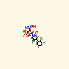 Cc1cccc(-c2cc(=O)n(CC[C@](C)(C(=O)NO)S(C)(=O)=O)cc2F)c1F